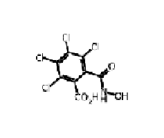 O=C(O)c1c(Cl)c(Cl)c(Cl)c(Cl)c1C(=O)NO